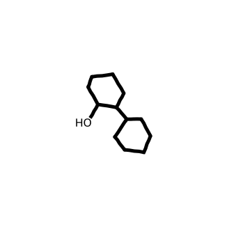 OC1CCCCC1[C]1CCCCC1